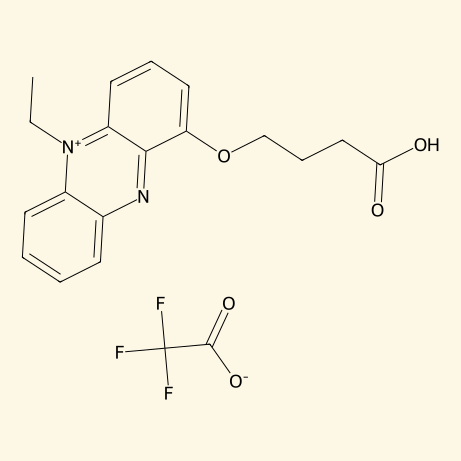 CC[n+]1c2ccccc2nc2c(OCCCC(=O)O)cccc21.O=C([O-])C(F)(F)F